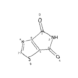 O=C1NC(=O)c2s[c]nc21